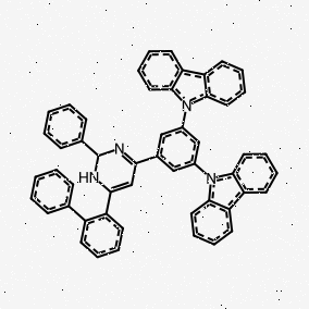 C1=C(c2ccccc2-c2ccccc2)NC(c2ccccc2)N=C1c1cc(-n2c3ccccc3c3ccccc32)cc(-n2c3ccccc3c3ccccc32)c1